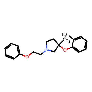 CC1(Oc2ccccc2C(F)(F)F)CCN(CCOc2ccccc2)C1